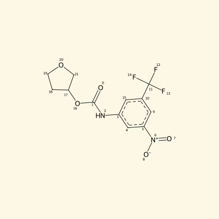 O=C(Nc1cc([N+](=O)[O-])cc(C(F)(F)F)c1)OC1CCOC1